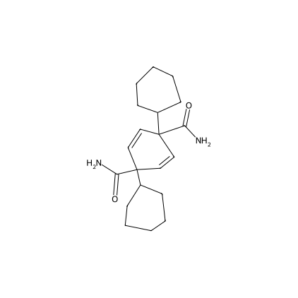 NC(=O)C1(C2CCCCC2)C=CC(C(N)=O)(C2CCCCC2)C=C1